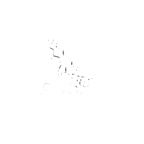 Cn1cc2c(Cl)c(-c3cn(COCC[Si](C)(C)C)c4nc(N5C[C@H]6C[C@@H](C5)[C@@H]6NC(=O)OC(C)(C)C)n(C)c(=O)c34)ccc2n1